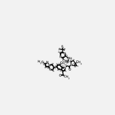 CC(=O)c1cn(CC(=O)N2C3C[C@]3(C)C[C@H]2C(=O)Nc2nc(C(F)(F)F)cnc2C)c2c(C)cc(-c3cnc4cc(C)nn4c3)cc12